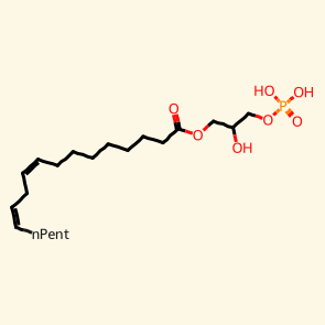 CCCCC/C=C\C/C=C\CCCCCCCC(=O)OCC(O)COP(=O)(O)O